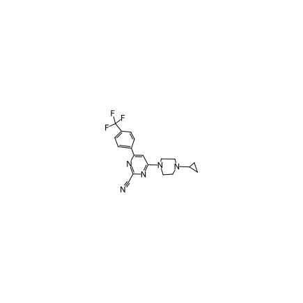 N#Cc1nc(-c2ccc(C(F)(F)F)cc2)cc(N2CCN(C3CC3)CC2)n1